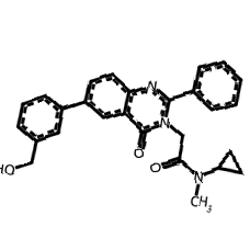 CN(C(=O)Cn1c(-c2ccccc2)nc2ccc(-c3cccc(CO)c3)cc2c1=O)C1CC1